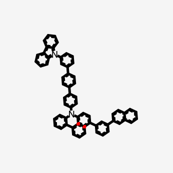 c1ccc(-c2ccccc2N(c2ccc(-c3ccc(-c4cccc(-n5c6ccccc6c6ccccc65)c4)cc3)cc2)c2ccc(-c3cccc(-c4ccc5ccccc5c4)c3)cc2)cc1